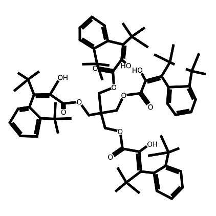 CC(C)(C)C(=C(O)C(=O)OCC(COC(=O)C(O)=C(c1ccccc1C(C)(C)C)C(C)(C)C)(COC(=O)C(O)=C(c1ccccc1C(C)(C)C)C(C)(C)C)COC(=O)C(O)=C(c1ccccc1C(C)(C)C)C(C)(C)C)c1ccccc1C(C)(C)C